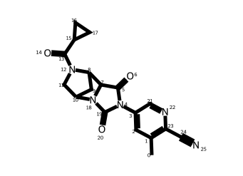 Cc1cc(N2C(=O)C3C4CC(CN4C(=O)C4CC4)N3C2=O)cnc1C#N